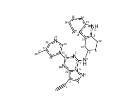 C#Cc1cnn2c(NC3CCc4[nH]c5ccccc5c4C3)nc(-c3cncc(F)c3)nc12